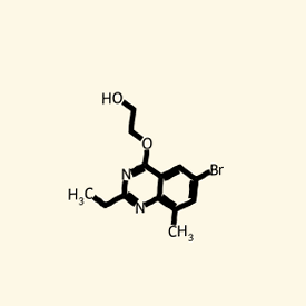 CCc1nc(OCCO)c2cc(Br)cc(C)c2n1